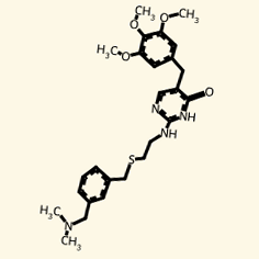 COc1cc(Cc2cnc(NCCSCc3cccc(CN(C)C)c3)[nH]c2=O)cc(OC)c1OC